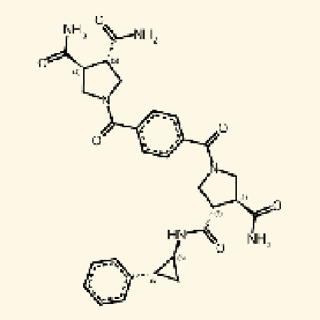 NC(=O)[C@@H]1CN(C(=O)c2ccc(C(=O)N3C[C@@H](C(N)=O)[C@H](C(=O)N[C@H]4C[C@@H]4c4ccccc4)C3)cc2)C[C@H]1C(N)=O